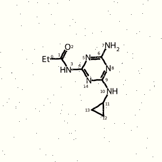 CCC(=O)Nc1nc(N)nc(NC2CC2)n1